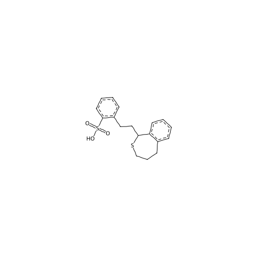 O=S(=O)(O)c1ccccc1CCC1SCCCc2ccccc21